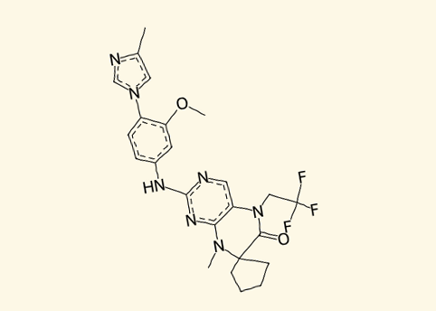 COc1cc(Nc2ncc3c(n2)N(C)C2(CCCC2)C(=O)N3CC(F)(F)F)ccc1-n1cnc(C)c1